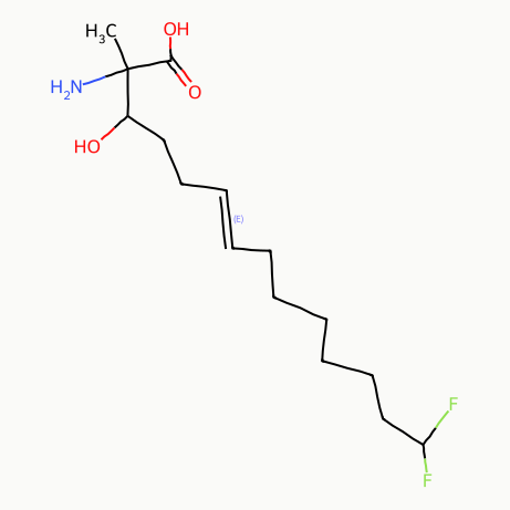 CC(N)(C(=O)O)C(O)CC/C=C/CCCCCCC(F)F